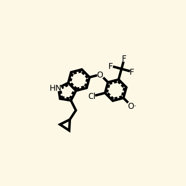 [O]c1cc(Cl)c(Oc2ccc3[nH]cc(CC4CC4)c3c2)c(C(F)(F)F)c1